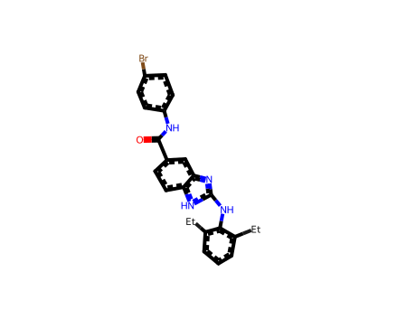 CCc1cccc(CC)c1Nc1nc2cc(C(=O)Nc3ccc(Br)cc3)ccc2[nH]1